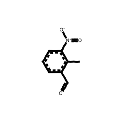 Cc1c(C=O)c[c]cc1[N+](=O)[O-]